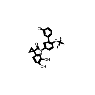 O=C(Nc1ccc(OC(F)(F)F)c(-c2cccc(Cl)c2)c1)C1(c2ccc(O)c(O)c2)CC1